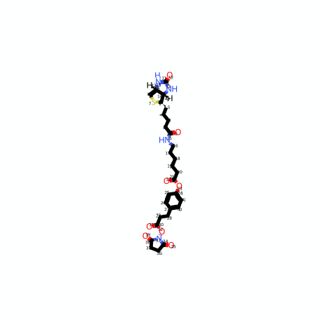 O=C(CCCC[C@@H]1SC[C@@H]2NC(=O)N[C@@H]21)NCCCCCC(=O)Oc1ccc(CCC(=O)ON2C(=O)CCC2=O)cc1